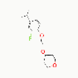 CC(C)c1ccc(OCCOC2CCOCC2)c(F)c1